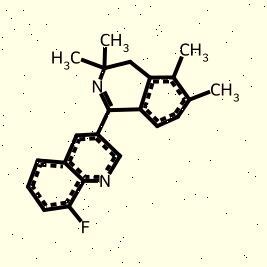 Cc1ccc2c(c1C)CC(C)(C)N=C2c1cnc2c(F)cccc2c1